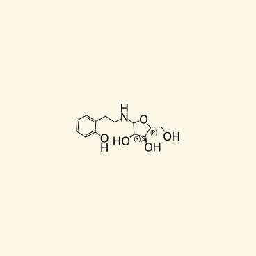 OC[C@H]1OC(NCCc2ccccc2O)[C@H](O)[C@@H]1O